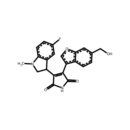 CN1CC(C2=C(c3coc4cc(CO)ccc34)C(=O)NC2=O)c2cc(F)ccc21